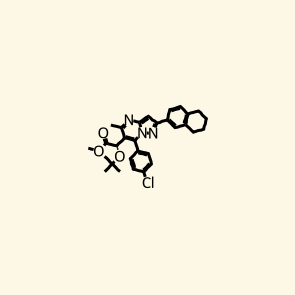 COC(=O)[C@@H](OC(C)(C)C)c1c(C)nc2cc(-c3ccc4c(c3)CCCC4)nn2c1-c1ccc(Cl)cc1